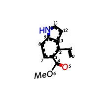 C=Cc1c(C(=O)OC)ccc2[nH]ccc12